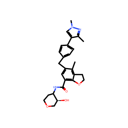 Cc1nn(C)cc1-c1ccc(Cc2cc(C(=O)NC3CCOC[C@@H]3O)c3c(c2C)CCO3)cc1